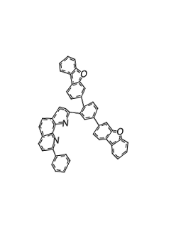 c1ccc(-c2ccc3ccc4ccc(-c5cc(-c6ccc7c(c6)oc6ccccc67)ccc5-c5ccc6c(c5)oc5ccccc56)nc4c3n2)cc1